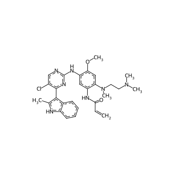 C=CC(=O)Nc1cc(Nc2ncc(Cl)c(-c3c(C)[nH]c4ccccc34)n2)c(OC)cc1N(C)CCN(C)C